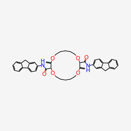 C=C1OCCCCCOC(C(=O)Nc2ccc3c(c2)Cc2ccccc2-3)C(=C)OCCCCCOC1C(=O)Nc1ccc2c(c1)Cc1ccccc1-2